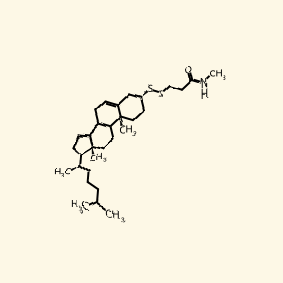 CNC(=O)CCSS[C@H]1CC[C@@]2(C)C(=CCC3C2CC[C@@]2(C)C3CC[C@@H]2[C@H](C)CCCC(C)C)C1